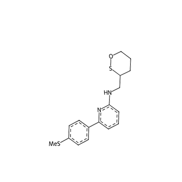 CSc1ccc(-c2cccc(NCC3CCCOS3)n2)cc1